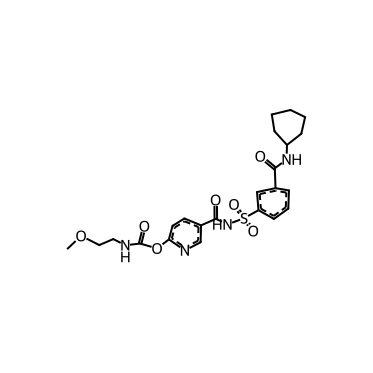 COCCNC(=O)Oc1ccc(C(=O)NS(=O)(=O)c2cccc(C(=O)NC3CCCCC3)c2)cn1